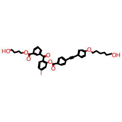 O=C(OCCCCO)c1cccc(C(=O)c2ccc(I)cc2OC(=O)c2ccc(C#Cc3ccc(OCCCCCCO)cc3)cc2)c1